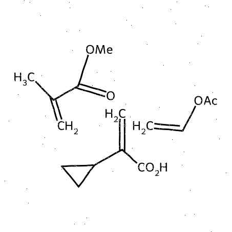 C=C(C(=O)O)C1CC1.C=C(C)C(=O)OC.C=COC(C)=O